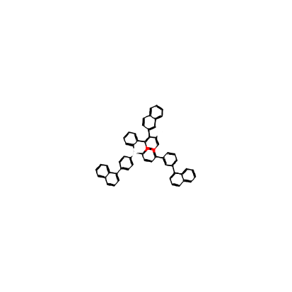 c1cc(-c2ccc(N(c3ccc(-c4cccc5ccccc45)cc3)c3ccccc3-c3cccc4oc5c6ccccc6ccc5c34)cc2)cc(-c2cccc3ccccc23)c1